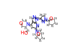 OCC1COCCN1c1cc(N2CC3CCC(C2)O3)nc2c1cnn2-c1ccn(C2CCCCO2)n1